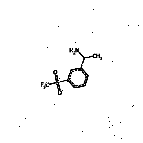 CC(N)c1cccc(S(=O)(=O)C(F)(F)F)c1